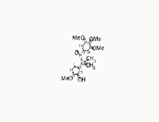 COc1ccc(C2C(C(=O)c3cc(OC)c(OC)c(OC)c3)C2(C)C)cc1O